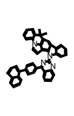 CC1(C)c2ccccc2-n2ccc3c2c1cc1c2ccccc2n(-c2nc(-c4ccc(-c5cccc6ccccc56)cc4)c4ccccc4n2)c13